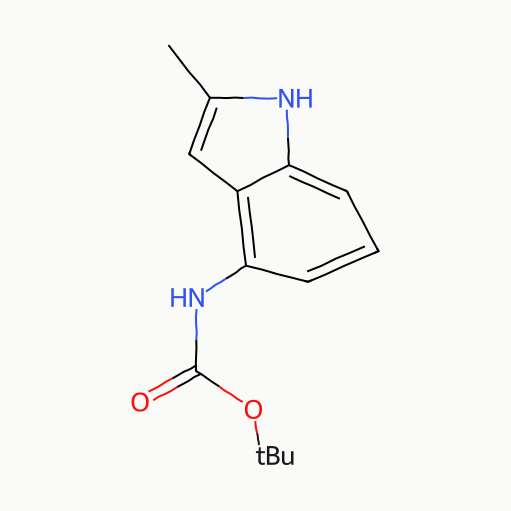 Cc1cc2c(NC(=O)OC(C)(C)C)cccc2[nH]1